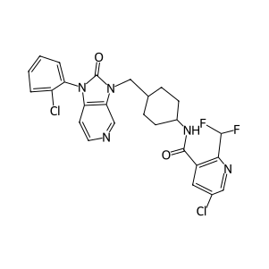 O=C(NC1CCC(Cn2c(=O)n(-c3ccccc3Cl)c3ccncc32)CC1)c1cc(Cl)cnc1C(F)F